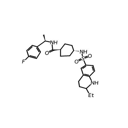 CCC1CCc2cc(S(=O)(=O)N[C@H]3CC[C@H](C(=O)N[C@H](C)c4ccc(F)cc4)CC3)ccc2N1